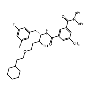 CCCN(CCC)C(=O)c1cc(C)cc(C(=O)N[C@@H](Cc2cc(F)cc(F)c2)[C@@H](O)CCOCCC2CCCCC2)c1